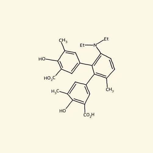 CCN(CC)c1ccc(C)c(-c2cc(C)c(O)c(C(=O)O)c2)c1-c1cc(C)c(O)c(C(=O)O)c1